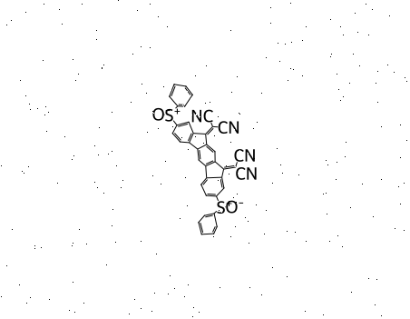 N#CC(C#N)=C1c2cc([S+]([O-])c3ccccc3)ccc2-c2cc3c(cc21)C(=C(C#N)C#N)c1cc([S+]([O-])c2ccccc2)ccc1-3